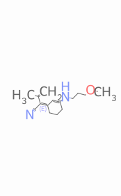 C=C(C)/C(C#N)=C1\C=C(NCCCOC)CCC1